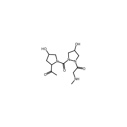 CNCC(=O)N1CC(O)CN1C(=O)N1CC(O)CC1C(C)=O